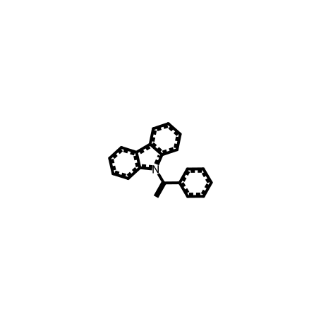 C=C(c1ccccc1)n1c2ccccc2c2ccccc21